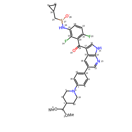 COC(OC)C1CCN(c2ccc(-c3cnc4[nH]cc(C(=O)c5c(F)ccc(N[S+]([O-])CC6CC6)c5F)c4c3)cc2)CC1